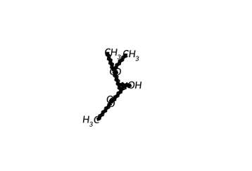 CCCCCCCCCOC(=O)CCCCCC1CC(CCCCCC(=O)OC(CCCCCCCC)CCCCCCCC)CN(CCO)C1